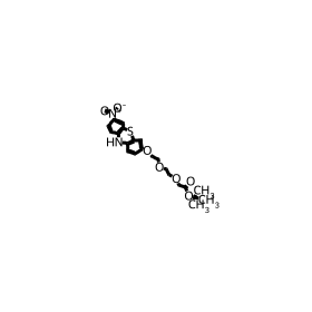 CC(C)(C)OC(=O)COCCOCCOc1ccc2c(c1)Sc1cc([N+](=O)[O-])ccc1N2